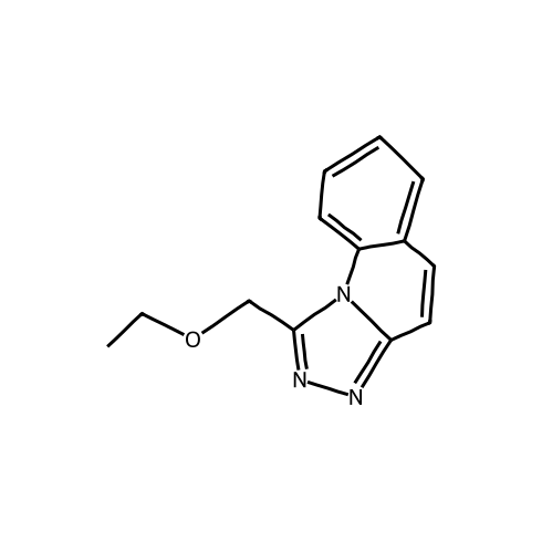 CCOCc1nnc2ccc3ccccc3n12